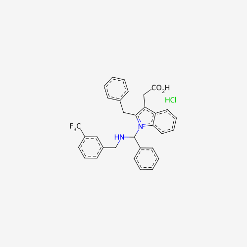 Cl.O=C(O)Cc1c(Cc2ccccc2)n(C(NCc2cccc(C(F)(F)F)c2)c2ccccc2)c2ccccc12